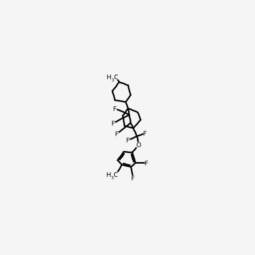 Cc1ccc(OC(F)(F)C23CCC(C4CCC(C)CC4)(CC2)C(F)(F)C3F)c(F)c1F